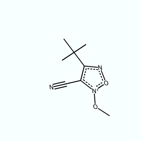 CO[n+]1onc(C(C)(C)C)c1C#N